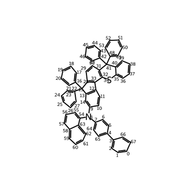 c1ccc(-c2ccc(N(c3ccc4c(c3)C(c3ccccc3)(c3ccccc3)c3ccc5c(c3-4)Sc3ccccc3C5(c3ccccc3)c3ccccc3)c3cccc4ccccc34)cc2)cc1